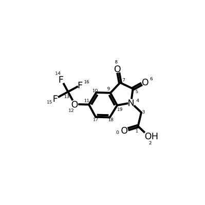 O=C(O)CN1C(=O)C(=O)c2cc(OC(F)(F)F)ccc21